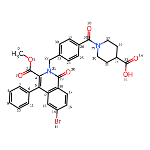 COC(=O)c1c(-c2ccccc2)c2cc(Br)ccc2c(=O)n1Cc1ccc(C(=O)N2CCC(C(=O)O)CC2)cc1